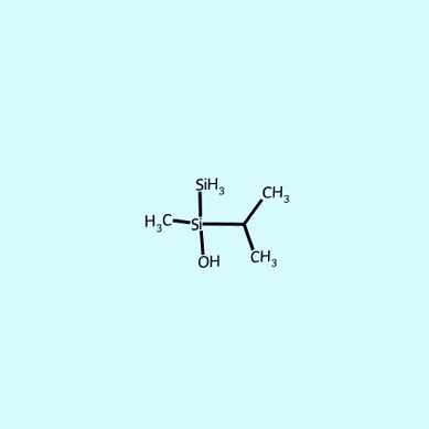 CC(C)[Si](C)(O)[SiH3]